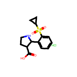 Cl.O=C(O)C1CCNC1c1ccccc1S(=O)(=O)C1CC1